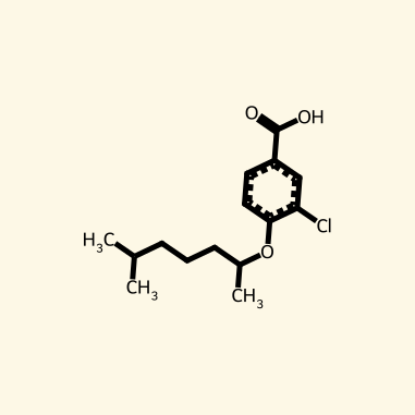 CC(C)CCCC(C)Oc1ccc(C(=O)O)cc1Cl